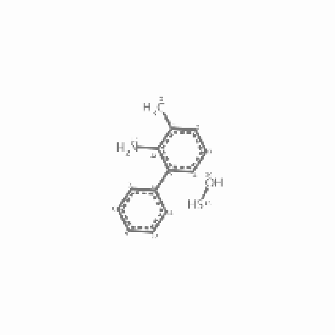 Cc1cccc(-c2cc[c]cc2)c1N.OS